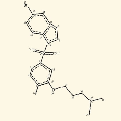 Cc1ccc(S(=O)(=O)n2ccc3cc(Br)ccc32)cc1OCCCN(C)C